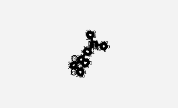 c1ccc(-c2cc(-c3ccccc3)nc(-c3ccc(-c4cc5oc6ccc7oc8ccccc8c7c6c5c5ccccc45)cc3)n2)cc1